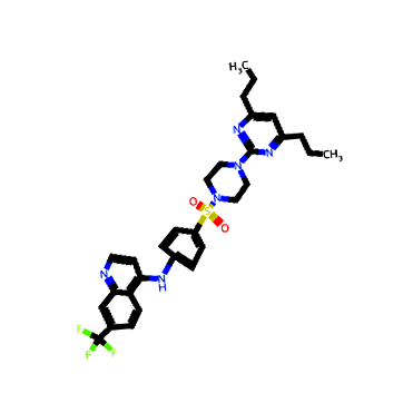 CCCc1cc(CCC)nc(N2CCN(S(=O)(=O)c3ccc(Nc4ccnc5cc(C(F)(F)F)ccc45)cc3)CC2)n1